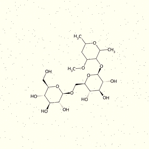 COC1CC(C)OC(C)C1O[C@@H]1O[C@H](CO[C@@H]2O[C@H](CO)[C@@H](O)[C@H](O)[C@H]2O)[C@@H](O)[C@H](O)[C@H]1O